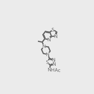 CC(=O)Nc1nnc(N2CCN(C(C)c3ccc4scnc4n3)CC2)s1